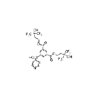 O=C(OCCC(O)(C(F)(F)F)C(F)(F)F)c1cc(C(=O)OCCC(O)(C(F)(F)F)C(F)(F)F)cc(S(=O)(=O)O)c1.c1cncnc1